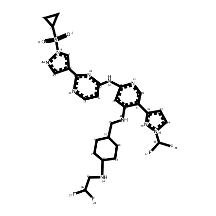 O=S(=O)(C1CC1)n1cc(-c2nccc(Nc3cc(NCC4CCC(NCC(F)F)CC4)c(-c4ccn(C(F)F)n4)cn3)n2)cn1